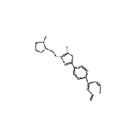 C=C/C=C(\C=C/C)c1ccc(C2=NC(CCN3CCCC3C)=C(C)C2)cc1